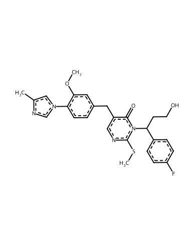 COc1cc(Cc2cnc(SC)n(C(CCO)c3ccc(F)cc3)c2=O)ccc1-n1cnc(C)c1